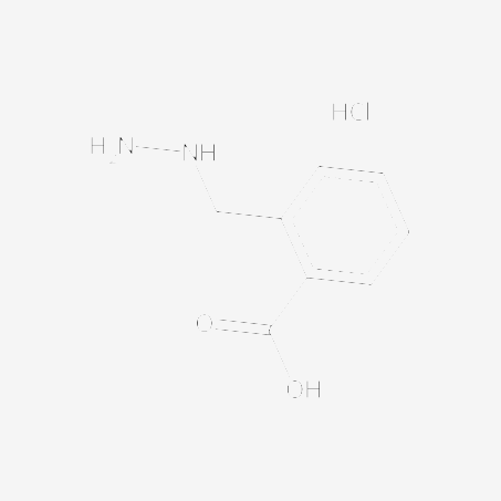 Cl.NNCc1ccccc1C(=O)O